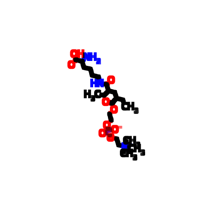 CCC(CC(CC)C(=O)OCCOP(=O)([O-])OCC[N+](C)(C)C)C(=O)NCCCCC(N)C(=O)O